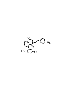 CCOc1ccc(CCN2CC(=O)N3CCCC(C4=CC(=O)C=CC4O)=C3C2=O)cc1